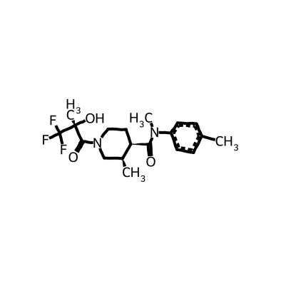 Cc1ccc(N(C)C(=O)[C@@H]2CCN(C(=O)[C@@](C)(O)C(F)(F)F)C[C@@H]2C)cc1